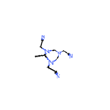 CC1N(CC#N)CN(CC#N)CN1CC#N